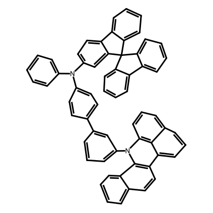 c1ccc(N(c2ccc(-c3cccc(N4c5c(ccc6ccccc56)-c5cccc6cccc4c56)c3)cc2)c2ccc3c(c2)C2(c4ccccc4-c4ccccc42)c2ccccc2-3)cc1